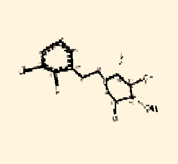 C[C@@H]1[C@@H](O)[C@H](O)[C@@H](O)CN1CCc1cccc(Cl)c1F